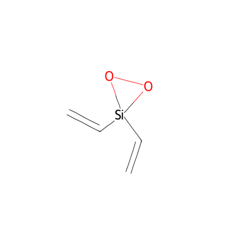 C=C[Si]1(C=C)OO1